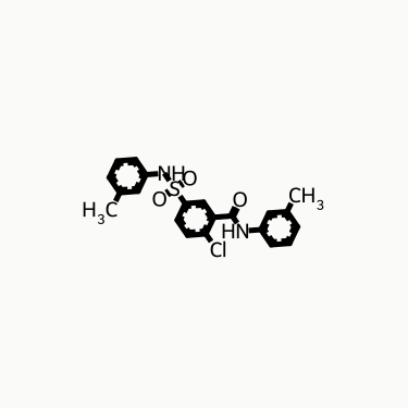 Cc1cccc(NC(=O)c2cc(S(=O)(=O)Nc3cccc(C)c3)ccc2Cl)c1